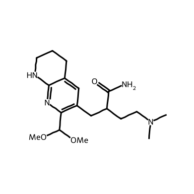 COC(OC)c1nc2c(cc1CC(CCN(C)C)C(N)=O)CCCN2